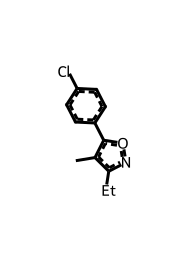 [CH2]Cc1noc(-c2ccc(Cl)cc2)c1C